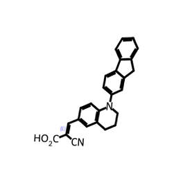 N#C/C(=C\c1ccc2c(c1)CCCN2c1ccc2c(c1)Cc1ccccc1-2)C(=O)O